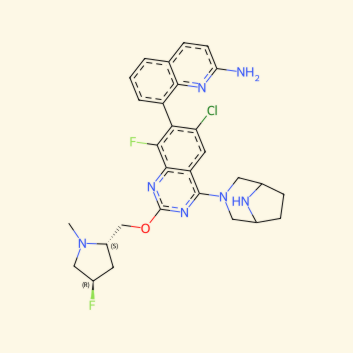 CN1C[C@H](F)C[C@H]1COc1nc(N2CC3CCC(C2)N3)c2cc(Cl)c(-c3cccc4ccc(N)nc34)c(F)c2n1